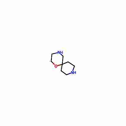 [CH]1CNCC2(CCNCC2)O1